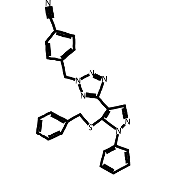 N#Cc1ccc(Cn2nnc(-c3cnn(-c4ccccc4)c3SCc3ccccc3)n2)cc1